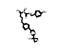 CCN(C(=N)CCCc1ccc(-c2cnc(C3(O)COC3)s2)cc1)C(=O)NCc1ccc(C(C)(C)C)cc1